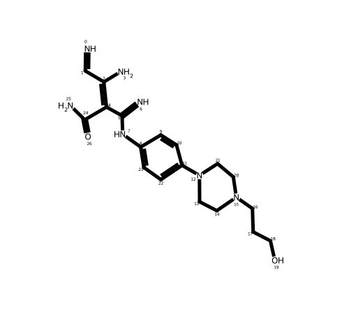 N=C/C(N)=C(/C(=N)Nc1ccc(N2CCN(CCCO)CC2)cc1)C(N)=O